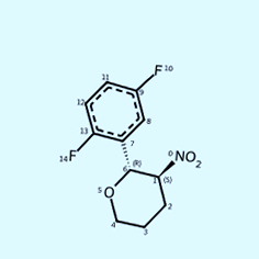 O=[N+]([O-])[C@H]1CCCO[C@@H]1c1cc(F)ccc1F